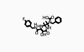 CC1(C(C)(C)N(Cc2ccccc2)C(=O)O)NC(=O)C(O)=C(C(=O)NCc2ccc(F)cc2)N1